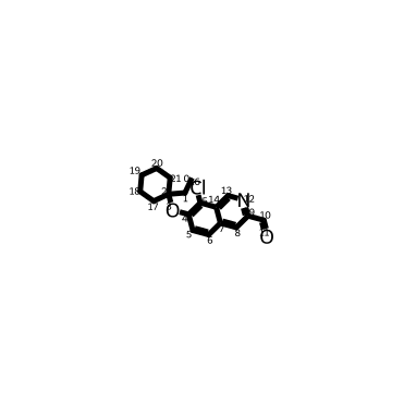 CCC1(Oc2ccc3cc(C=O)ncc3c2Cl)CCCCC1